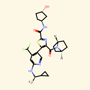 O=C(N[C@H]1CC[C@H](O)C1)c1nc(C(=O)N2[C@H]3CC[C@H]2CC3)c(-c2cnc(N[C@@H](C3CC3)C(F)(F)F)cc2C(F)F)s1